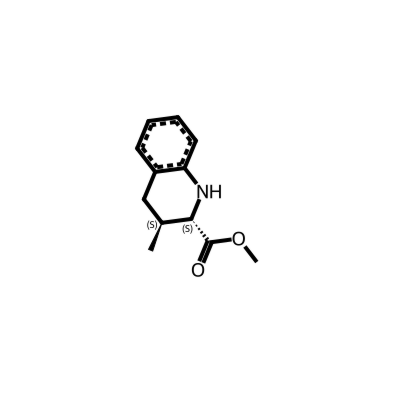 COC(=O)[C@H]1Nc2ccccc2C[C@@H]1C